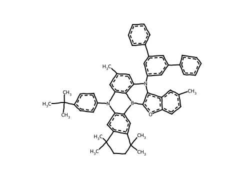 Cc1cc2c3c(c1)N(c1cc(-c4ccccc4)cc(-c4ccccc4)c1)c1c(oc4ccc(C)cc14)B3c1cc3c(cc1N2c1ccc(C(C)(C)C)cc1)C(C)(C)CCC3(C)C